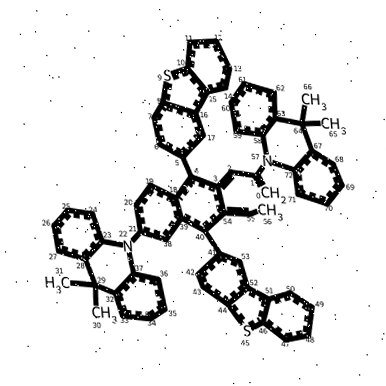 C=C(/C=c1/c(-c2ccc3sc4ccccc4c3c2)c2ccc(N3c4ccccc4C(C)(C)c4ccccc43)cc2c(-c2ccc3sc4ccccc4c3c2)/c1=C/C)N1c2ccccc2C(C)(C)c2ccccc21